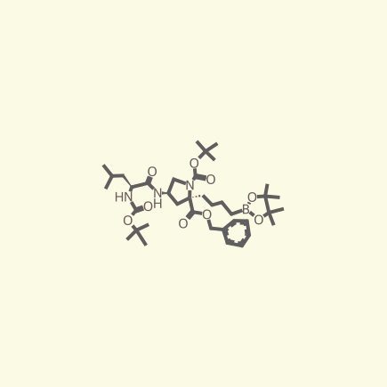 CC(C)C[C@H](NC(=O)OC(C)(C)C)C(=O)N[C@H]1CN(C(=O)OC(C)(C)C)[C@@](CCCCB2OC(C)(C)C(C)(C)O2)(C(=O)OCc2ccccc2)C1